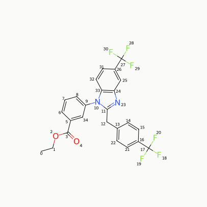 CCOC(=O)c1cccc(-n2c(Cc3ccc(C(F)(F)F)cc3)nc3cc(C(F)(F)F)ccc32)c1